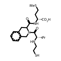 CSCC[C@@H](NC(=O)C1Cc2ccccc2CN1C(=O)[C@@H](NCCS)C(C)C)C(=O)O